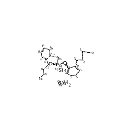 CCCCc1ccccc1OP(=O)(S)Sc1ccccc1CCCC.[BaH2]